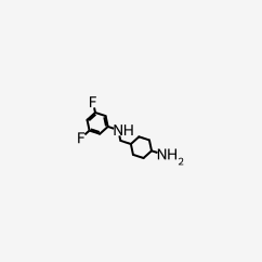 NC1CCC(CNc2cc(F)cc(F)c2)CC1